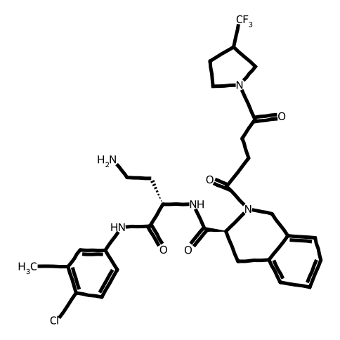 Cc1cc(NC(=O)[C@H](CCN)NC(=O)[C@@H]2Cc3ccccc3CN2C(=O)CCC(=O)N2CCC(C(F)(F)F)C2)ccc1Cl